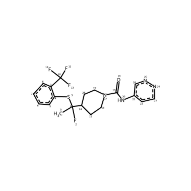 CC(F)(Sc1ccccc1C(F)(F)F)C1CCN(C(=O)Nc2ccnnc2)CC1